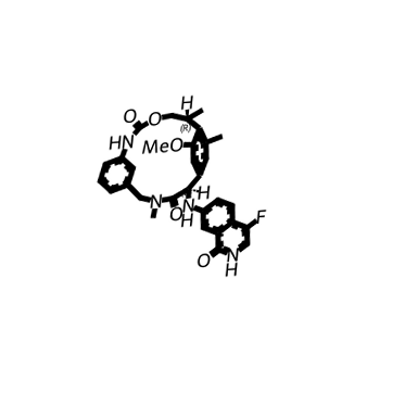 COc1cc2cc(C)c1[C@@H](C)COC(=O)Nc1cccc(c1)CN(C)C(=O)[C@@H]2Nc1ccc2c(F)c[nH]c(=O)c2c1